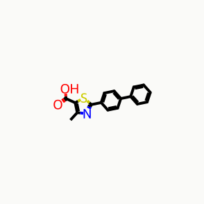 Cc1nc(-c2ccc(-c3ccccc3)cc2)sc1C(=O)O